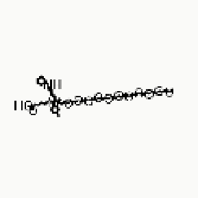 COCCOCCOCCOCCOCCOCCOCCOCCOCCOCCOCCC1(C)C(/C=C/C=C/Nc2ccccc2)=[N+](CCCCCC(=O)O)c2ccc(C)cc21